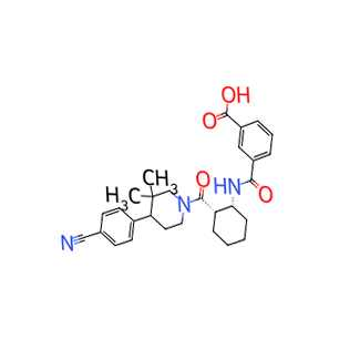 CC1(C)CN(C(=O)[C@H]2CCCC[C@H]2NC(=O)c2cccc(C(=O)O)c2)CCC1c1ccc(C#N)cc1